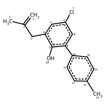 C=C(C)Cc1cc(Cl)cc(-c2ccc(C)cc2)c1O